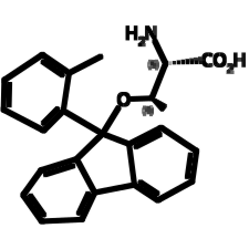 Cc1ccccc1C1(O[C@H](C)[C@H](N)C(=O)O)c2ccccc2-c2ccccc21